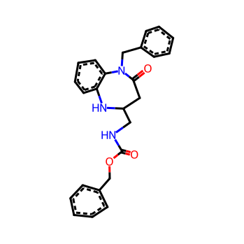 O=C(NCC1CC(=O)N(Cc2ccccc2)c2ccccc2N1)OCc1ccccc1